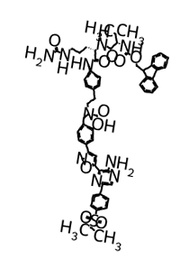 CC(C)[C@H](NC(=O)OCC1c2ccccc2-c2ccccc21)C(=O)N[C@@H](CCCNC(N)=O)C(=O)Nc1ccc(CCN(Cc2ccc(-c3cc(-c4nc(-c5ccc(S(=O)(=O)C(C)C)cc5)cnc4N)on3)cc2)C(=O)O)cc1